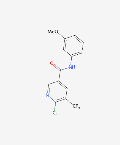 COc1cccc(NC(=O)c2cnc(Cl)c(C(F)(F)F)c2)c1